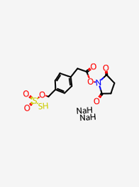 O=C(Cc1ccc(COS(=O)(=O)S)cc1)ON1C(=O)CCC1=O.[NaH].[NaH]